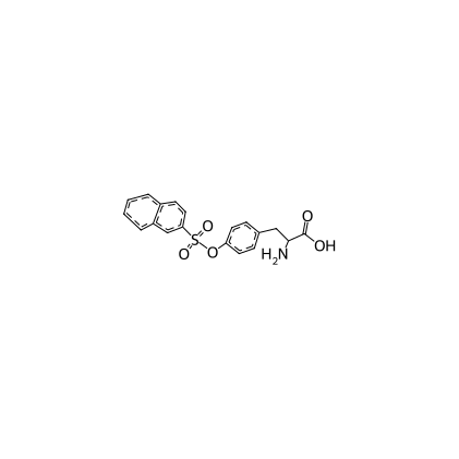 NC(Cc1ccc(OS(=O)(=O)c2ccc3ccccc3c2)cc1)C(=O)O